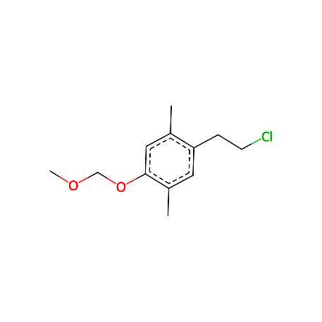 COCOc1cc(C)c(CCCl)cc1C